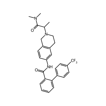 CC(C(=O)N(C)C)N1CCc2cc(NC(=O)c3ccccc3-c3ccc(C(F)(F)F)cc3)ccc2C1